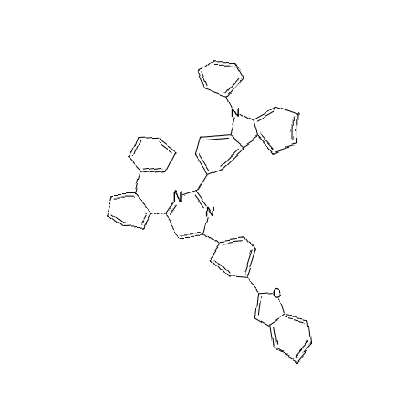 c1ccc(-c2ccccc2-c2cc(-c3ccc(-c4cc5ccccc5o4)cc3)nc(-c3ccc4c(c3)c3ccccc3n4-c3ccccc3)n2)cc1